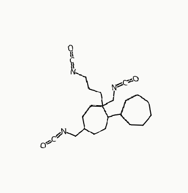 O=C=NCCCC1(CN=C=O)CCC(CN=C=O)CCC1C1CCCCCC1